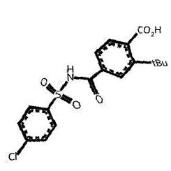 CC(C)(C)c1cc(C(=O)NS(=O)(=O)c2ccc(Cl)cc2)ccc1C(=O)O